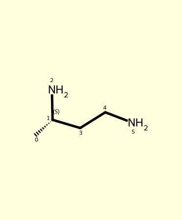 C[C@H](N)CCN